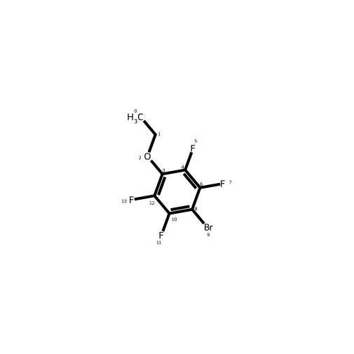 CCOc1c(F)c(F)c(Br)c(F)c1F